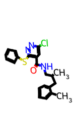 Cc1ccccc1CC(C)CNC(=O)c1cc(Cl)nnc1Sc1ccccc1